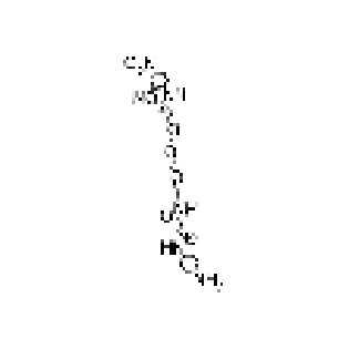 NC1CCC(NC(=O)CCC(=O)NCCCOCCOCCOCCCNc2ccc([N+](=O)[O-])cc2[N+](=O)[O-])CC1